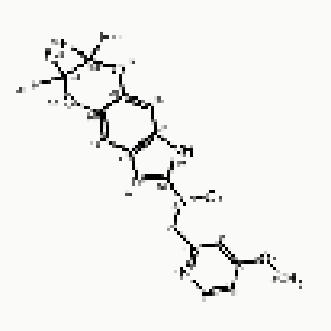 COc1ccnc(C[S+]([O-])c2nc3cc4c(cc3[nH]2)OC(F)(F)C(F)(F)O4)c1